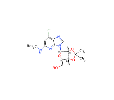 CCOC(=O)Nc1cc(Cl)c2ncn([C@@H]3O[C@H](CO)[C@H]4OC(C)(C)O[C@H]43)c2n1